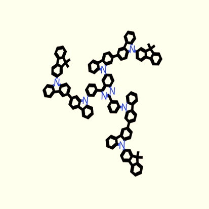 CC1(C)c2ccccc2-c2ccc(-n3c4ccccc4c4cc(-c5ccc6c7ccccc7n(-c7cccc(-c8nc(-c9cccc(-n%10c%11ccccc%11c%11ccc(-c%12ccc%13c(c%12)c%12ccccc%12n%13-c%12ccc%13c(c%12)C(C)(C)c%12ccccc%12-%13)cc%11%10)c9)c9cc(-n%10c%11ccccc%11c%11ccc(-c%12ccc%13c(c%12)c%12ccccc%12n%13-c%12ccc%13c(c%12)C(C)(C)c%12ccccc%12-%13)cc%11%10)ccc9n8)c7)c6c5)ccc43)cc21